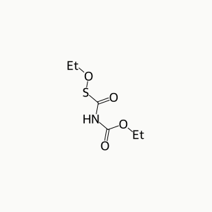 CCOSC(=O)NC(=O)OCC